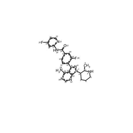 C[C@H]1NCCCC1n1nc(-c2ccc(C(=O)Nc3cc(F)ccn3)cc2F)c2c(N)ncnc21